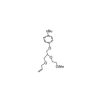 C=CCOCC(COc1ccc(CCCC)cc1)OCCOC